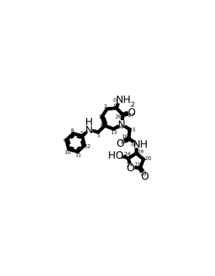 NC1CC=C(CNc2ccccc2)CN(CC(=O)NC2CC(=O)OC2O)C1=O